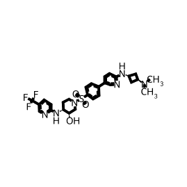 CN(C)[C@H]1C[C@H](Nc2ccc(-c3ccc(S(=O)(=O)N4CC[C@@H](Nc5ccc(C(F)(F)F)cn5)[C@@H](O)C4)cc3)cn2)C1